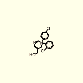 OCC1=CN=C[N+](c2ccc(Cl)cc2)(c2ccccc2Cl)C1